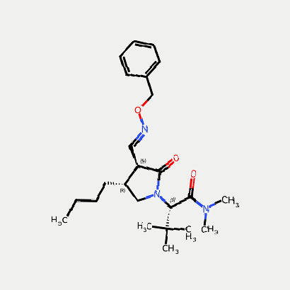 CCCC[C@H]1CN([C@H](C(=O)N(C)C)C(C)(C)C)C(=O)[C@@H]1C=NOCc1ccccc1